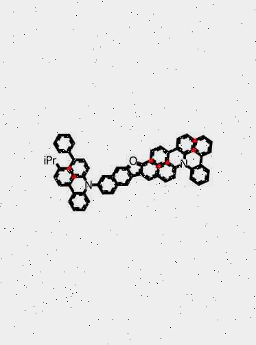 CC(C)c1ccc(-c2ccccc2N(c2ccc(-c3ccccc3)cc2)c2ccc3cc4c(cc3c2)oc2cc3cc(N(c5ccccc5-c5ccccc5)c5ccccc5-c5ccccc5)ccc3cc24)cc1